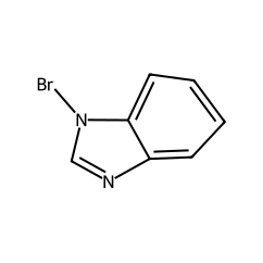 Brn1cnc2ccccc21